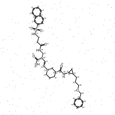 O=C(CCNS(=O)(=O)c1ccc2ccccc2c1)NCN(C=NN1CCC[C@H](C(=O)N[C@H]2CC2CCCOCc2ccccc2)C1)C(=O)O